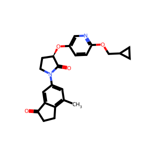 Cc1cc(N2CC[C@@H](Oc3ccc(OCC4CC4)nc3)C2=O)cc2c1CCC2=O